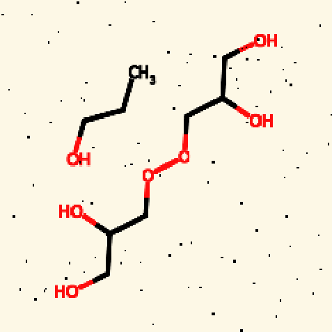 CCCO.OCC(O)COOCC(O)CO